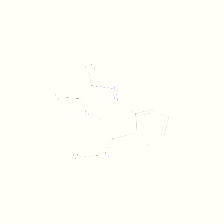 CON=C1c2ccccc2-c2nc(C#N)c(C#N)nc21